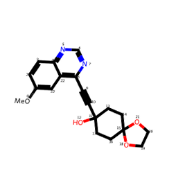 COc1ccc2ncnc(C#CC3(O)CCC4(CC3)OCCO4)c2c1